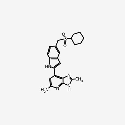 Cc1nc2c(-c3cc4cc(CS(=O)(=O)C5CCCCC5)ccc4[nH]3)cc(N)nc2[nH]1